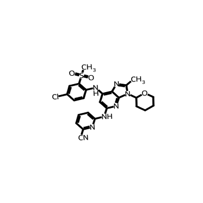 Cc1nc2c(Nc3ccc(Cl)cc3S(C)(=O)=O)cc(Nc3cccc(C#N)n3)nc2n1C1CCCCO1